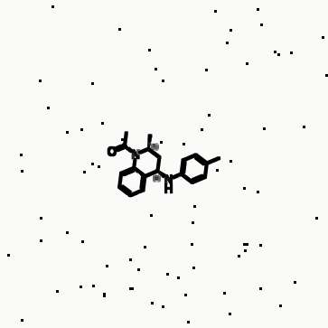 CC(=O)N1c2ccccc2[C@H](Nc2ccc(C)cc2)C[C@@H]1C